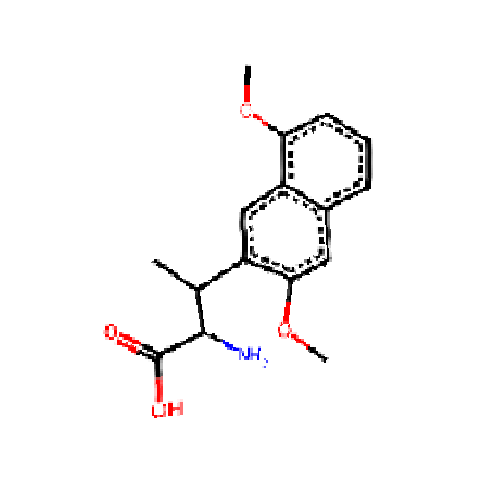 COc1cc2cccc(OC)c2cc1C(C)C(N)C(=O)O